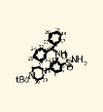 CC(C)(C)N1CCN(c2ccc(S(N)(=O)=O)c(NC(c3ccccc3)c3ccccc3)c2)CC1